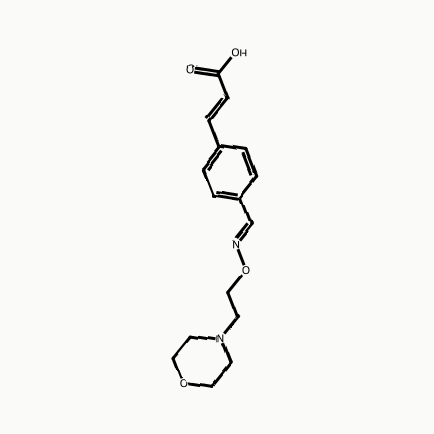 O=C(O)/C=C/c1ccc(/C=N/OCCN2CCOCC2)cc1